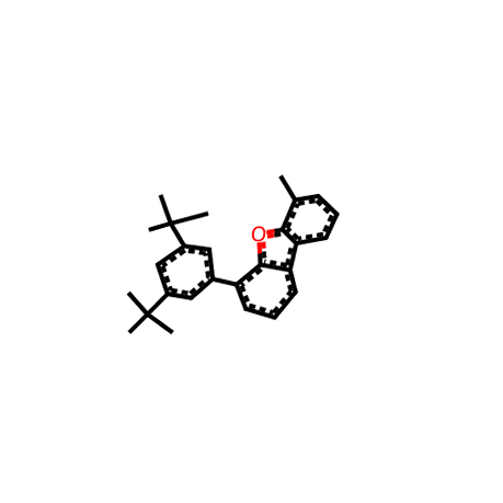 Cc1cccc2c1oc1c(-c3cc(C(C)(C)C)cc(C(C)(C)C)c3)cccc12